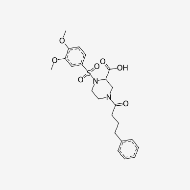 COc1ccc(S(=O)(=O)N2CCN(C(=O)CCCc3ccccc3)CC2C(=O)O)cc1OC